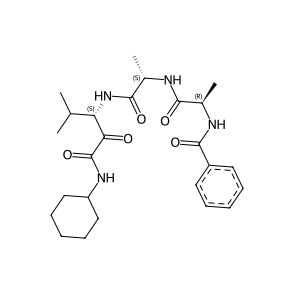 CC(C)[C@H](NC(=O)[C@H](C)NC(=O)[C@@H](C)NC(=O)c1ccccc1)C(=O)C(=O)NC1CCCCC1